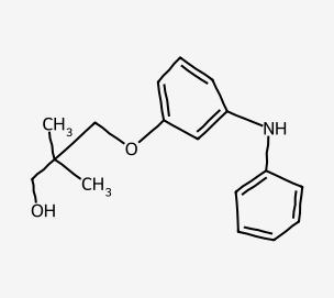 CC(C)(CO)COc1cccc(Nc2ccccc2)c1